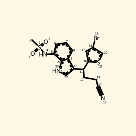 CS(=O)(=O)Nc1cccc2c(C(CCC#N)c3cc(Br)cs3)c[nH]c12